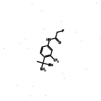 CC(C)(C)C(C)(N)c1ccc(NC(=O)CF)cc1C(F)(F)F